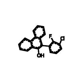 Oc1c(-c2cccc(Cl)c2F)c2ccccc2c2ccccc12